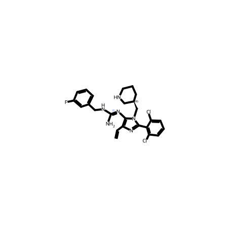 C=Cc1nc(-c2c(Cl)cccc2Cl)n(C[C@@H]2CCCNC2)c1/N=C(\N)NCc1cccc(F)c1